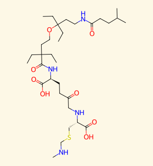 CCC(CC)(CCNC(=O)CCC(C)C)OCCC(CC)(CC)C(=O)N[C@@H](CCC(=O)CN[C@@H](CSCNC)C(=O)O)C(=O)O